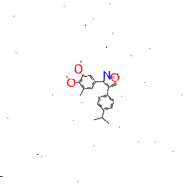 COc1cc(-c2nocc2-c2ccc(C(C)C)cc2)cc(C)c1OC